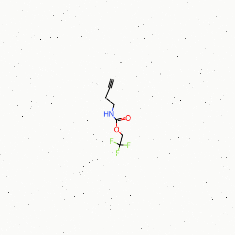 C#CCCNC(=O)OCC(F)(F)F